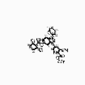 CC(C)OC(=O)c1ncc(-c2nn(C3CCCCO3)c3ccc(O[C@H](C)c4c(Cl)cncc4Cl)cc23)cc1C#N